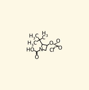 CC(C)(C)C1C(OS(=O)(=O)Cl)CN1C(=O)O